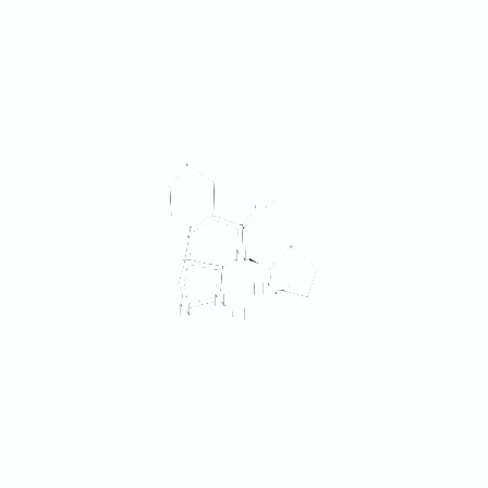 Cn1ncc2c3c(c(=O)n([C@H]4CCCN4)c21)CCCC3